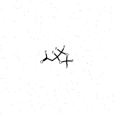 O=C(F)CC1(F)OC(F)(F)OC1(F)F